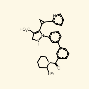 CCCC1CCCCN1C(=O)c1cccc(-c2cccc(N3NCC(C(=O)O)=C3C3CC3c3ccccn3)c2)c1